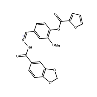 COc1cc(/C=N\NC(=O)c2ccc3c(c2)OCO3)ccc1OC(=O)c1ccco1